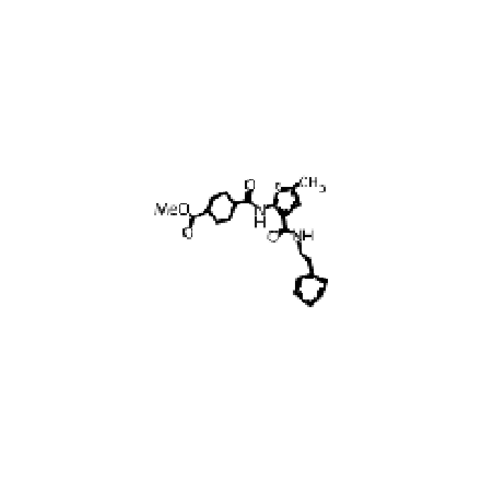 COC(=O)C1CCC(C(=O)Nc2sc(C)cc2C(=O)NCCc2ccccc2)CC1